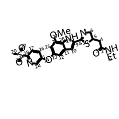 CCNC(=O)CC1CN=C(c2cc3cc(Oc4ccc(S(C)(=O)=O)nc4)cc(OC)c3[nH]2)S1